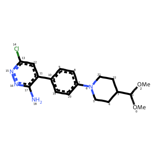 COC(OC)C1CCN(c2ccc(-c3cc(Cl)nnc3N)cc2)CC1